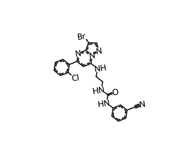 N#Cc1cccc(NC(=O)NCCNc2cc(-c3ccccc3Cl)nc3c(Br)cnn23)c1